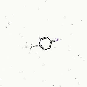 O=C(O)c1ccc([131I])cc1